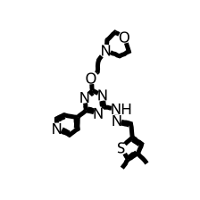 Cc1cc(/C=N/Nc2nc(OCCN3CCOCC3)nc(-c3ccncc3)n2)sc1C